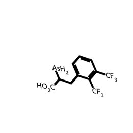 O=C(O)C([AsH2])Cc1cccc(C(F)(F)F)c1C(F)(F)F